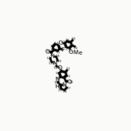 COc1cc(Oc2ccc(C(=O)N3CCN(COc4cc5c(cc4C)C(=O)N4CCC[C@H]4C=N5)CC3)cc2F)cc(C)c1C